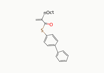 C=C(CCCCCCCC)C(=O)Sc1ccc(-c2ccccc2)cc1